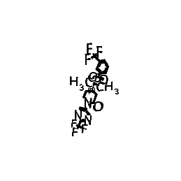 CC(C)([C@@H]1CCN(c2cnc(C(F)(F)F)nc2)C(=O)C1)S(=O)(=O)c1cccc(C(F)(F)F)c1